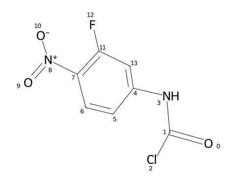 O=C(Cl)Nc1ccc([N+](=O)[O-])c(F)c1